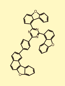 c1ccc2c(c1)oc1cccc(-c3nc(-c4ccc(-c5ccc6ccc7oc8ccccc8c7c6c5)cc4)nc(-c4cccc5oc6ccccc6c45)n3)c12